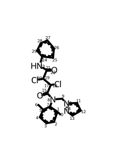 Cc1cccc(C)c1N(Cn1cccn1)C(=O)C(Cl)C(Cl)C(=O)Nc1ccccc1